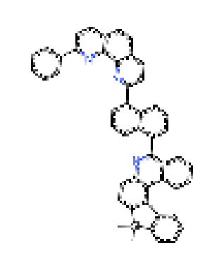 C[Si]1(C)c2ccccc2-c2c1ccc1nc(-c3cccc4c(-c5ccc6ccc7ccc(-c8ccccc8)nc7c6n5)cccc34)c3ccccc3c21